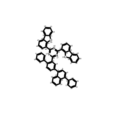 c1ccc(-c2ccc(-c3ccc(-c4ccccc4)c4ccccc34)cc2-c2nc(-c3cccc4c3oc3ccccc34)nc(-c3cccc4c3oc3ccccc34)n2)cc1